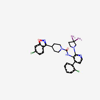 O=C(Nc1c(-c2ccccc2F)ccnc1N1CCC(P)(P)C1)N1CCC(c2noc3cc(F)ccc23)CC1